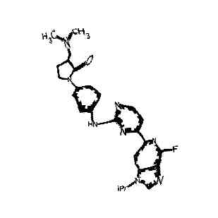 CC(C)n1cnc2c(F)nc(-c3ccnc(Nc4ccc(N5CCC(N(C)C)C5=O)cc4)n3)cc21